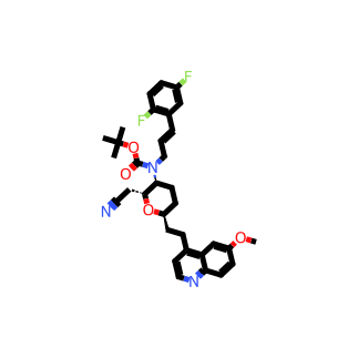 COc1ccc2nccc(CC[C@@H]3CC[C@@H](N(CC=Cc4cc(F)ccc4F)C(=O)OC(C)(C)C)[C@@H](CC#N)O3)c2c1